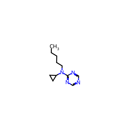 CCCCCN(c1ncncn1)C1CC1